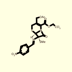 CS[C@@]1(N=Cc2ccc([N+](=O)[O-])cc2)C(=O)N2C(C(=O)OCC(Cl)(Cl)Cl)=C(COC(C)=O)CS[C@@H]21